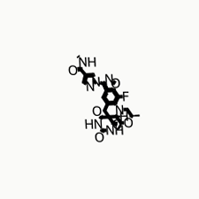 CNC(=O)c1cnn(-c2noc3c(F)c4c(cc23)CC2(C(=O)NC(=O)NC2=O)[C@H]2[C@H](C)O[C@H](C)CN42)c1